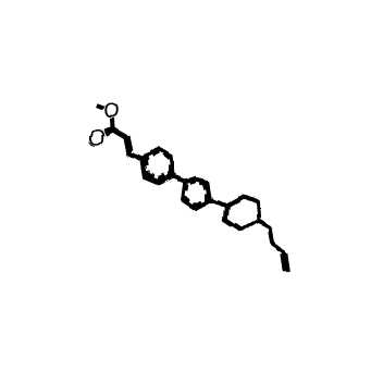 C=CCCC1CCC(c2ccc(-c3ccc(C=CC(=O)OC)cc3)cc2)CC1